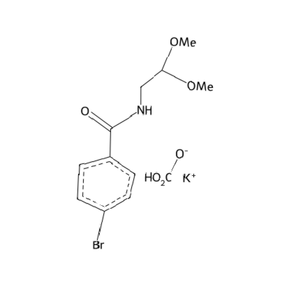 COC(CNC(=O)c1ccc(Br)cc1)OC.O=C([O-])O.[K+]